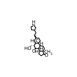 C[C@]12CCC(=CCC3CCNC3)CC1[C@@H](CO)C(=O)[C@@H]1[C@@H]2CC[C@]2(C)C(=O)CC[C@@H]12